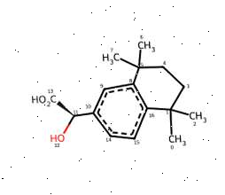 CC1(C)CCC(C)(C)c2cc([C@@H](O)C(=O)O)ccc21